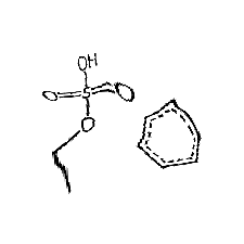 CCOS(=O)(=O)O.c1ccccc1